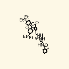 CCN(CC)c1ccc2c(c1)Oc1cc(N(CC)CC)ccc1C21OC(=O)c2ccc(CNC(=S)NCCNC(=O)c3ccccc3C)cc21